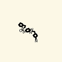 CN(C(=O)N1CCc2ccccc21)c1ccc2c(c1)nc(Cc1ccc(C#N)cc1)n2C